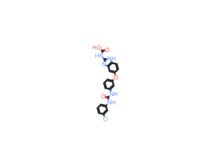 O=C(O)Nc1nc2cc(Oc3cccc(NC(=O)Nc4cccc(Cl)c4)c3)ccc2[nH]1